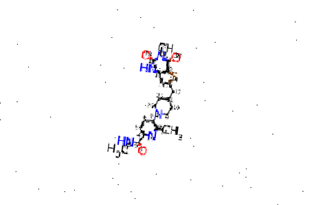 CNC(=O)c1ccc(N2CCC(Cc3cc4[nH]c(=O)n(C)c(=O)c4s3)CC2)c(C)n1